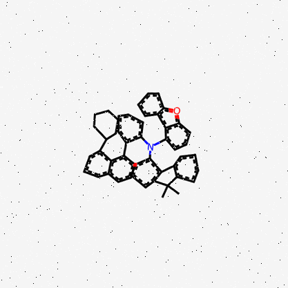 CC1(C)c2ccccc2-c2c(N(c3ccccc3-c3cccc4cccc(C5CCCCC5)c34)c3cccc4oc5ccccc5c34)cccc21